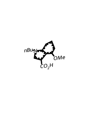 CCCCn1cc(C(=O)O)c2c(OC)cccc21